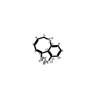 CC(C)/C1=C/C=C\CSc2cccc(C(C)C)c21